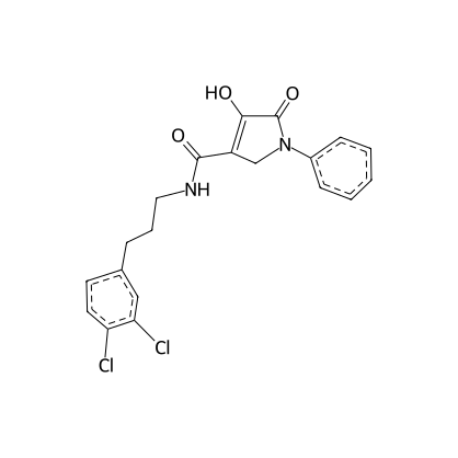 O=C(NCCCc1ccc(Cl)c(Cl)c1)C1=C(O)C(=O)N(c2ccccc2)C1